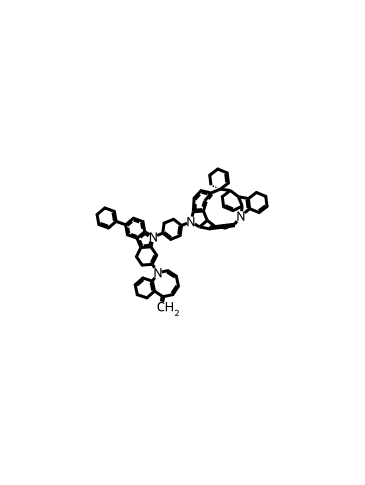 C=C1/C=C\C=C/N(C2=Cc3c(c4cc(C5=CCCC=C5)ccc4n3C3=CC=C(N4c5ccc6cc5C5CCC(=CC54)N4C5=C(CCC=C5)C5C4C=CCC5[C@]64C=CCCC4)CC3)CC2)C2=C1CCC=C2